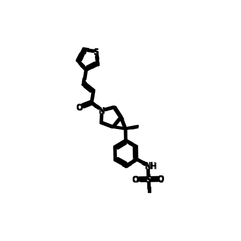 CC1(c2cccc(NS(C)(=O)=O)c2)C2CN(C(=O)C=Cc3ccsc3)CC21